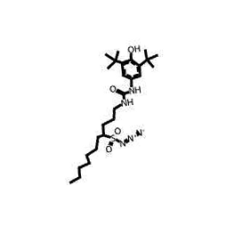 CCCCCCCC(CCCNC(=O)Nc1cc(C(C)(C)C)c(O)c(C(C)(C)C)c1)S(=O)(=O)N=[N+]=[N-]